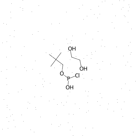 CC(C)(C)COP(O)Cl.OCCO